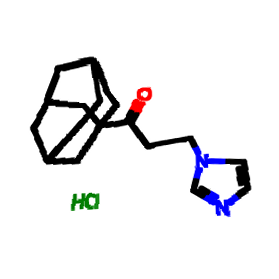 Cl.O=C(CCn1ccnc1)C12CC3CC(CC(C3)C1)C2